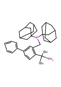 CC(C)(C)C(P)(c1ccc(-c2ccccc2)cc1CP(C12CC3CC(CC(C3)C1)C2)C12CC3CC(CC(C3)C1)C2)C(C)(C)C